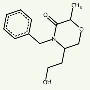 CC1OCC(CCO)N(Cc2ccccc2)C1=O